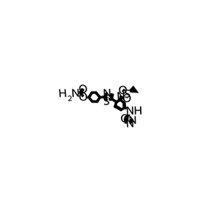 NC(=O)OC1CCC(c2ncc(C3C=CC(Nc4nnco4)=CC3=NS(=O)(=O)C3CC3)s2)CC1